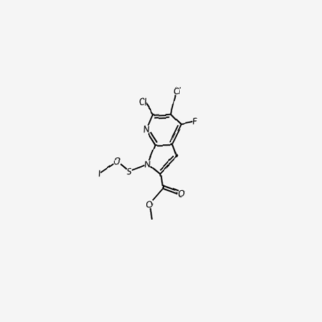 COC(=O)c1cc2c(F)c(Cl)c(Cl)nc2n1SOI